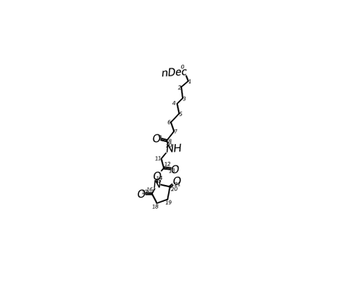 CCCCCCCCCCCCCCCCCC(=O)NCC(=O)ON1C(=O)CCC1=O